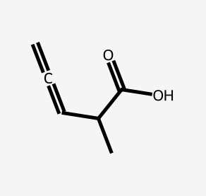 C=C=CC(C)C(=O)O